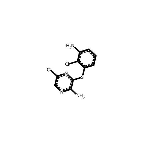 Nc1cccc(Sc2nc(Cl)cnc2N)c1Cl